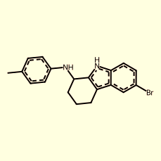 Cc1ccc(NC2CCCc3c2[nH]c2ccc(Br)cc32)cc1